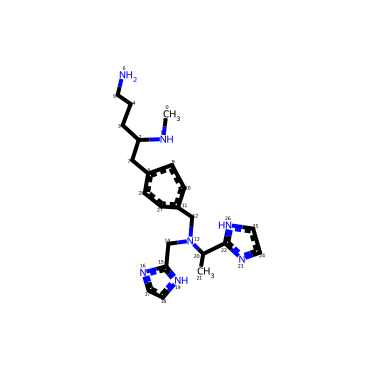 CNC(CCCN)Cc1ccc(CN(Cc2ncc[nH]2)C(C)c2ncc[nH]2)cc1